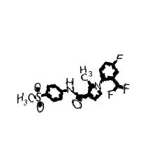 Cc1c(C(=O)Nc2ccc(S(C)(=O)=O)cc2)ccn1-c1ccc(F)cc1C(F)F